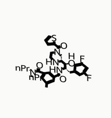 CCCN(CCC)C(=O)c1cc(C)cc(C(=O)N[C@@H](Cc2cc(F)cc(F)c2)[C@H](O)[C@H]2CN(C(=O)c3cccs3)CCN2)c1